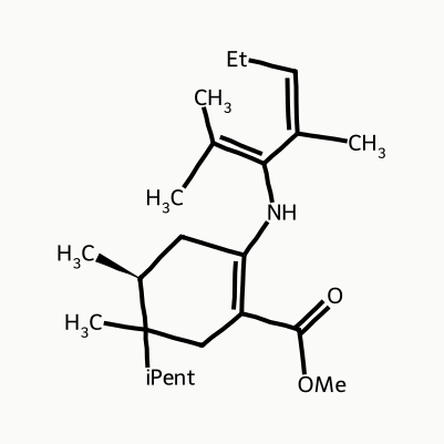 CC/C=C(/C)C(NC1=C(C(=O)OC)CC(C)(C(C)CCC)[C@@H](C)C1)=C(C)C